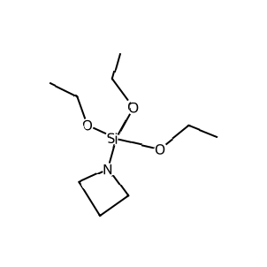 CCO[Si](OCC)(OCC)N1CCC1